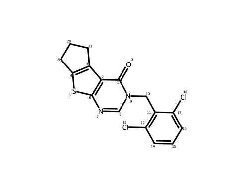 O=c1c2c3c(sc2ncn1Cc1c(Cl)cccc1Cl)CCC3